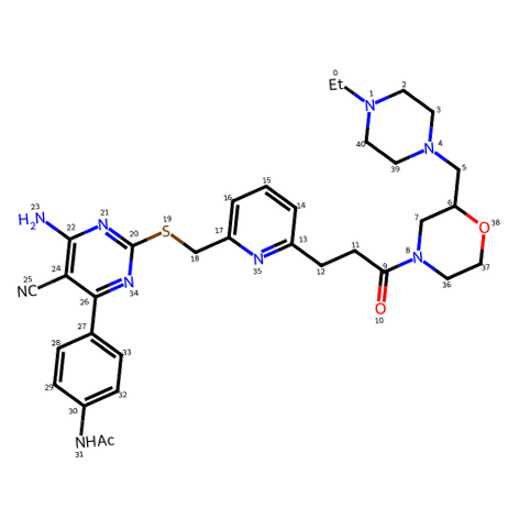 CCN1CCN(CC2CN(C(=O)CCc3cccc(CSc4nc(N)c(C#N)c(-c5ccc(NC(C)=O)cc5)n4)n3)CCO2)CC1